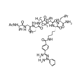 CC(=O)NC(C(=O)NCC(=O)N[C@@H](CC(C)C)C(=O)NC(C)(C)C(=O)NC(C(=O)N[C@@H](CCCCNC(=O)c1ccc(/C(N)=N/N(N)c2ccccc2)cc1)C(=O)N[C@@H](CC(C)C)C(N)=O)C(C)C)C(C)C